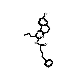 CCCc1nc2c(nc1NC(=O)CCCc1ccccc1)CCc1cc(O)ccc1-2